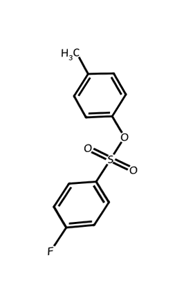 Cc1ccc(OS(=O)(=O)c2ccc(F)cc2)cc1